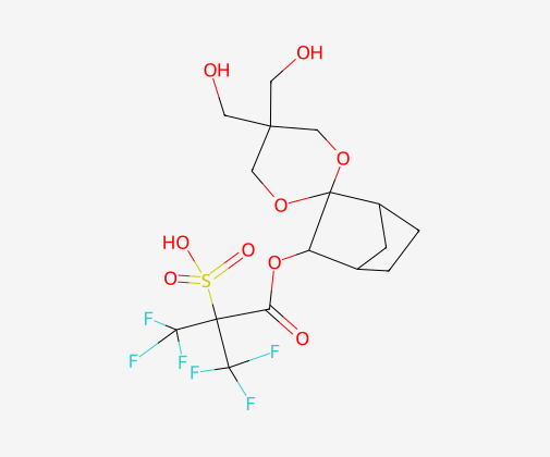 O=C(OC1C2CCC(C2)C12OCC(CO)(CO)CO2)C(C(F)(F)F)(C(F)(F)F)S(=O)(=O)O